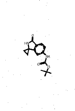 CC(C)(C)OC(=O)Nc1ccc2c(c1)C1(CC1)NC2=O